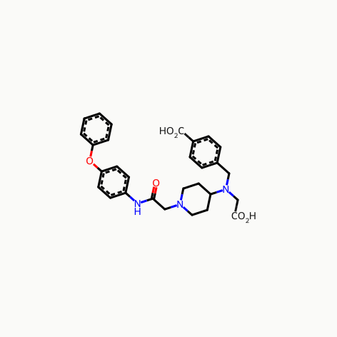 O=C(O)CN(Cc1ccc(C(=O)O)cc1)C1CCN(CC(=O)Nc2ccc(Oc3ccccc3)cc2)CC1